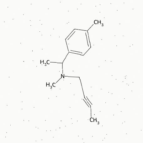 CC#CCN(C)C(C)c1ccc(C)cc1